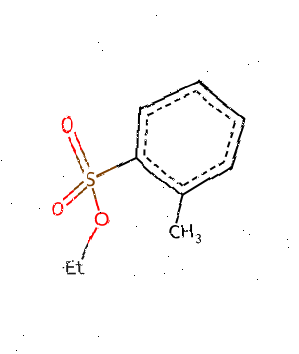 C[CH]OS(=O)(=O)c1ccccc1C